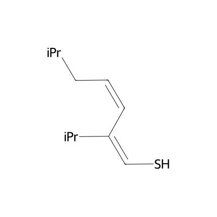 CC(C)C/C=C\C(=C/S)C(C)C